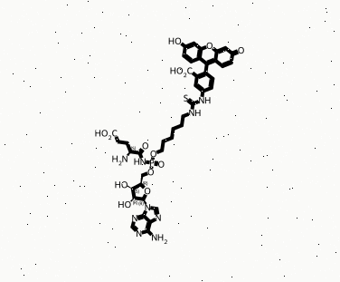 Nc1ncnc2c1ncn2[C@@H]1O[C@H](COP(=O)(NC(=O)[C@@H](N)CCC(=O)O)OCCCCCCNC(=S)Nc2ccc(-c3c4ccc(=O)cc-4oc4cc(O)ccc34)c(C(=O)O)c2)[C@@H](O)[C@H]1O